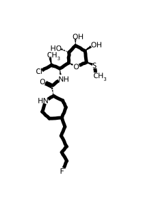 CS[C@H]1O[C@H]([C@H](NC(=O)[C@@H]2CCC(CCCCCF)CCN2)[C@H](C)Cl)[C@H](O)[C@H](O)[C@H]1O